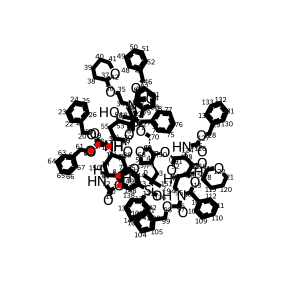 CC(C)(C[C@H]1[C@H](O[C@@H]2[C@H]3OC(=O)N[C@@H]3C[C@H](NC(=O)OCc3ccccc3)[C@H]2O[C@H]2O[C@H](CN(CCOC3CCCCO3)C(=O)OCc3ccccc3)[C@@H](O)C[C@H]2NC(=O)OCc2ccccc2)O[C@H](CO[Si](c2ccccc2)(c2ccccc2)C(C)(C)C)[C@H]1O[C@H]1O[C@H]2CN(C(=O)OCc3ccccc3)C(c3ccccc3)O[C@H]2[C@H](OC2CCCCO2)[C@H]1NC(=O)OCc1ccccc1)[Si](O)(c1ccccc1)c1ccccc1